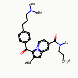 CCCCc1cc2cc(C(=O)N(CC)CCC(=O)O)ccn2c1C(=O)c1ccc(CCCN(CCCC)CCCC)cc1